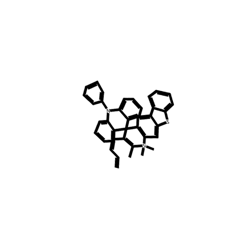 C=C/C=C\C1=C(C)[Si](C)(C)c2cc3sc4ccccc4c3cc2C12c1ccccc1N(c1ccccc1)c1ccccc12